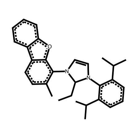 CCC1N(c2c(C(C)C)cccc2C(C)C)C=CN1c1c(C)ccc2c1oc1ccccc12